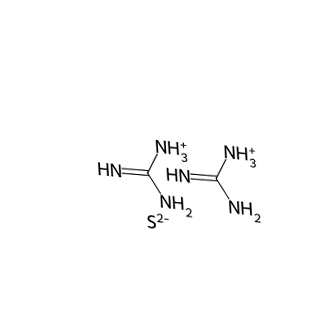 N=C(N)[NH3+].N=C(N)[NH3+].[S-2]